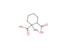 CC1(C(=O)O)CCCCC1C(=O)O